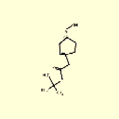 CC(C)(C)OC(=O)CC1=CC[C@H](CO)CC1